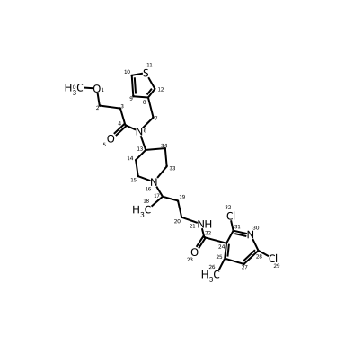 COCCC(=O)N(Cc1ccsc1)C1CCN(C(C)CCNC(=O)c2c(C)cc(Cl)nc2Cl)CC1